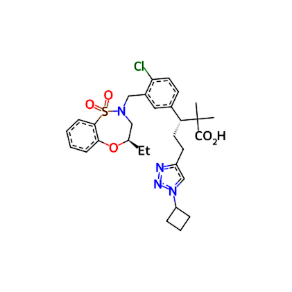 CC[C@@H]1CN(Cc2cc([C@@H](CCc3cn(C4CCC4)nn3)C(C)(C)C(=O)O)ccc2Cl)S(=O)(=O)c2ccccc2O1